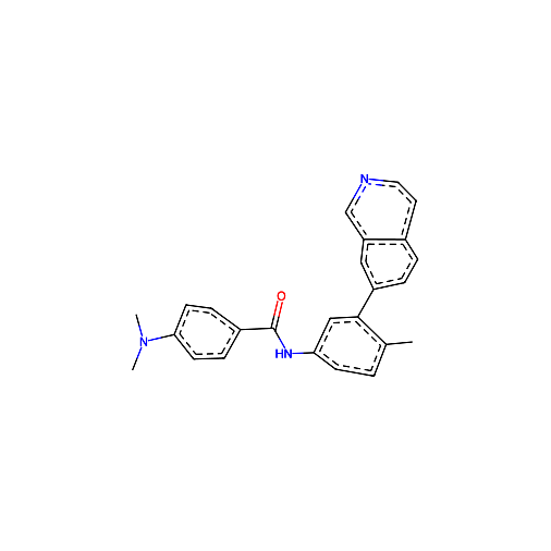 Cc1ccc(NC(=O)c2ccc(N(C)C)cc2)cc1-c1ccc2ccncc2c1